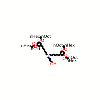 CCCCCCCCC(CCCCCC)C(=O)Oc1cc(CCCCCCN(CCCCO)CCCCCCc2cc(OC(=O)C(CCCCCC)CCCCCCCC)cc(OC(=O)C(CCCCCC)CCCCCCCC)c2)cc(OC(=O)C(CCCCCC)CCCCCCCC)c1